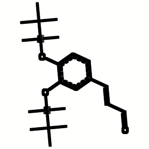 CC(C)(C)[Si](C)(C)Oc1ccc(C=CC=O)cc1O[Si](C)(C)C(C)(C)C